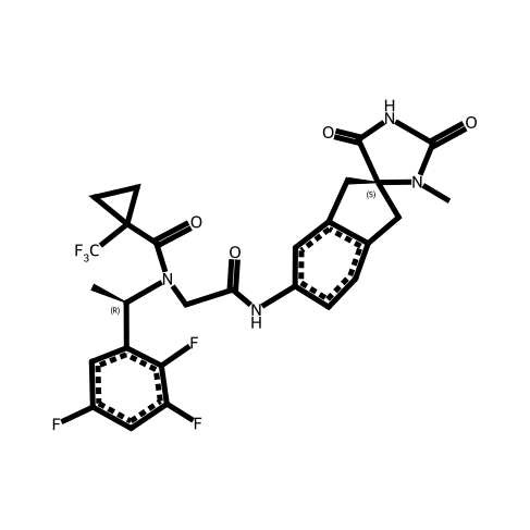 C[C@H](c1cc(F)cc(F)c1F)N(CC(=O)Nc1ccc2c(c1)C[C@@]1(C2)C(=O)NC(=O)N1C)C(=O)C1(C(F)(F)F)CC1